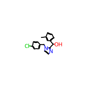 Cc1cccc(C(O)c2nccn2Cc2ccc(Cl)cc2)c1